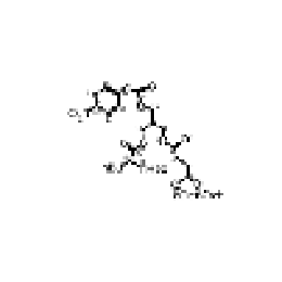 CCCCCCCCOC(CCC(=O)OCC(COC(=O)Oc1ccc([N+](=O)[O-])cc1)COC(=O)C(CCCC)CCCCCC)OCCCCCCCC